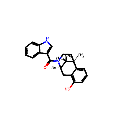 CC1(C)[C@H]2Cc3c(O)cccc3[C@]1(C)CCN2C(=O)c1c[nH]c2ccccc12